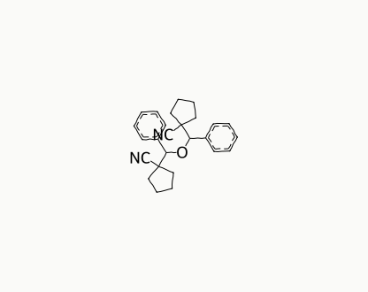 N#CC1(C(OC(c2ccccc2)C2(C#N)CCCC2)c2ccccc2)CCCC1